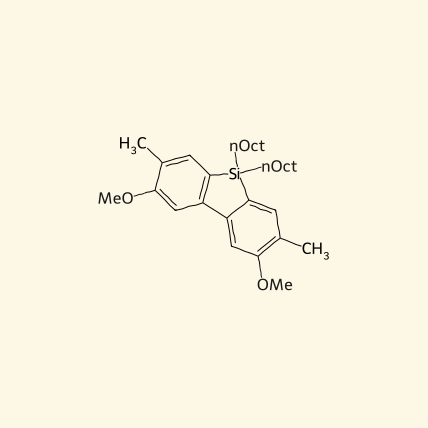 CCCCCCCC[Si]1(CCCCCCCC)c2cc(C)c(OC)cc2-c2cc(OC)c(C)cc21